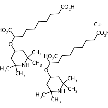 CC1(C)CC(OC(CCCCCCCC(=O)O)C(=O)O)CC(C)(C)N1.CC1(C)CC(OC(CCCCCCCC(=O)O)C(=O)O)CC(C)(C)N1.[Cu]